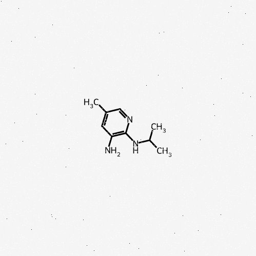 Cc1cnc(NC(C)C)c(N)c1